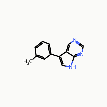 Cc1cccc(-c2c[nH]c3ncncc23)c1